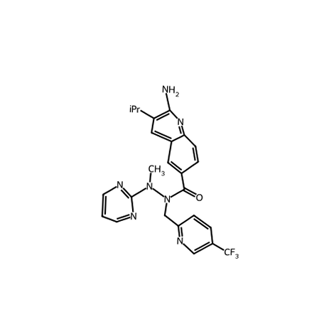 CC(C)c1cc2cc(C(=O)N(Cc3ccc(C(F)(F)F)cn3)N(C)c3ncccn3)ccc2nc1N